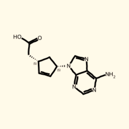 Nc1ncnc2c1ncn2[C@@H]1C=C[C@H](CC(=O)O)C1